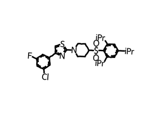 CC(C)c1cc(C(C)C)c(S(=O)(=O)C2CCN(c3nc(-c4cc(F)cc(Cl)c4)cs3)CC2)c(C(C)C)c1